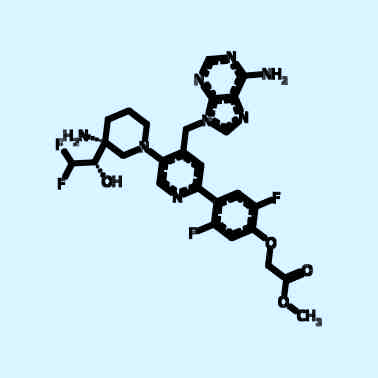 COC(=O)COc1cc(F)c(-c2cc(Cn3cnc4c(N)ncnc43)c(N3CCC[C@](N)([C@H](O)C(F)F)C3)cn2)cc1F